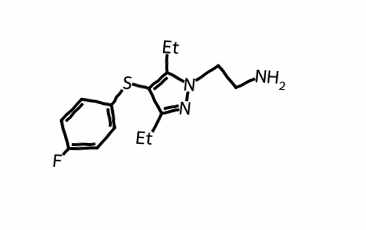 CCc1nn(CCN)c(CC)c1Sc1ccc(F)cc1